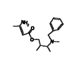 CC(N)=CC(=O)OCC(C)C(C)N(C)Cc1ccccc1